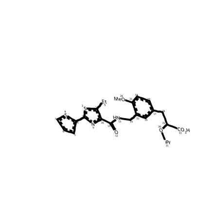 CCc1sc(-c2cccs2)nc1C(=O)NCc1cc(CC(OC(C)C)C(=O)O)ccc1OC